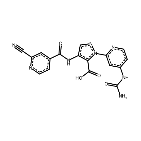 N#Cc1cc(C(=O)Nc2cnn(-c3cc(NC(N)=O)ccn3)c2C(=O)O)ccn1